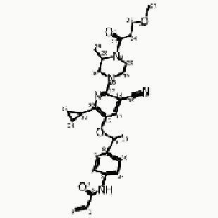 C=CC(=O)Nc1ccc(C(C)Oc2cc(C#N)c(N3CCN(C(=O)CCOC)C(C)C3)nc2C2CC2)cc1